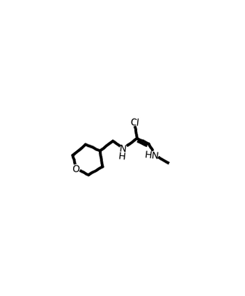 CN/C=C(/Cl)NCC1CCOCC1